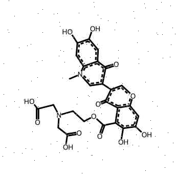 Cn1cc(-c2coc3cc(O)c(O)c(C(=O)OCCN(CC(=O)O)CC(=O)O)c3c2=O)c(=O)c2cc(O)c(O)cc21